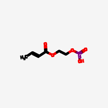 CC=CC(=O)OCCO[PH](=O)O